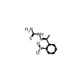 CC(=NNC(N)=S)c1ccccc1[N+](=O)[O-]